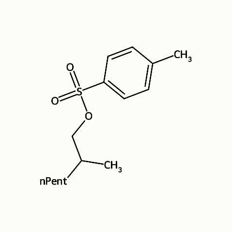 CCCCCC(C)COS(=O)(=O)c1ccc(C)cc1